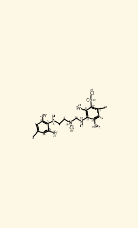 Cc1cc(C(C)C)c(NCCN(Cl)CNc2c(C(C)C)cc(C)[c]([Co][Cl])c2C(C)C)c(C(C)C)c1